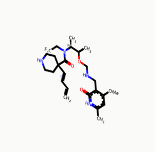 C=C/C=C/C1(C(=O)N(CC(F)(F)F)[C@@H](C)C(C)OCNCc2c(OC)cc(C)[nH]c2=O)CCNCC1